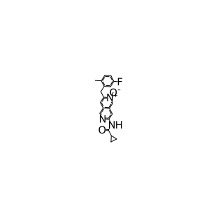 Cc1ccc(F)cc1Cc1cc2cnc(NC(=O)C3CC3)cc2c[n+]1[O-]